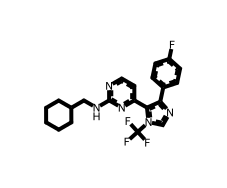 Fc1ccc(-c2ncn(C(F)(F)F)c2-c2ccnc(NCC3CCCCC3)n2)cc1